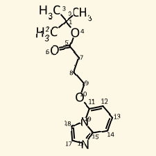 CC(C)(C)OC(=O)CCCOc1cccc2nccn12